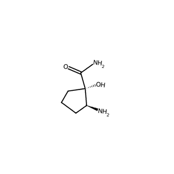 NC(=O)[C@]1(O)CCC[C@@H]1N